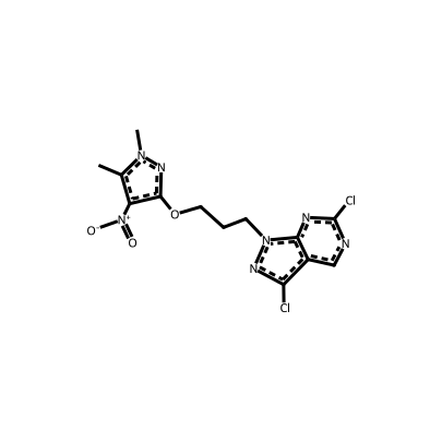 Cc1c([N+](=O)[O-])c(OCCCn2nc(Cl)c3cnc(Cl)nc32)nn1C